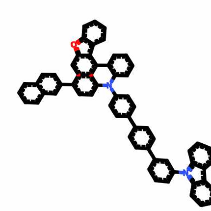 c1cc(-c2ccc(-c3ccc(N(c4ccc(-c5ccc6ccccc6c5)cc4)c4ccccc4-c4cccc5oc6ccccc6c45)cc3)cc2)cc(-n2c3ccccc3c3ccccc32)c1